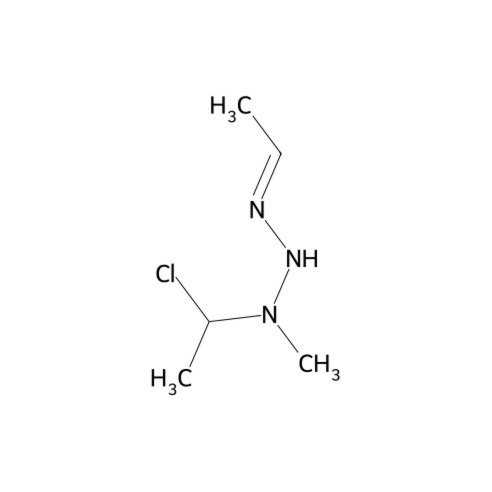 C/C=N/NN(C)C(C)Cl